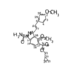 COc1ccc(C=Cc2nn(C(N)=O)c3ccc(C(=O)OCC4CC4)c(OC)c23)cc1